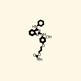 CC(C)(C)C(=O)OCCCOc1ccc(Nc2nc(NC3CCCCC3)c3ccccc3n2)cc1.Cl